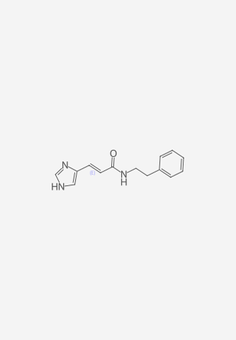 O=C(/C=C/c1c[nH]cn1)NCCc1ccccc1